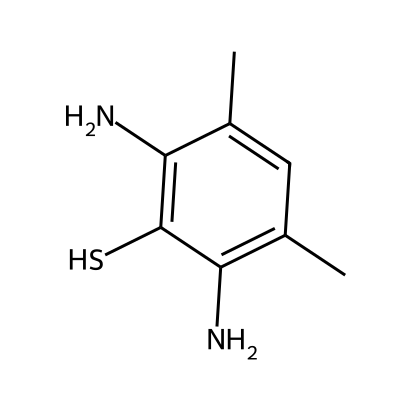 Cc1cc(C)c(N)c(S)c1N